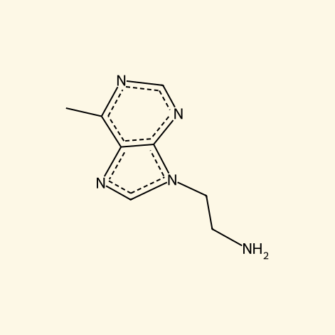 Cc1ncnc2c1ncn2CCN